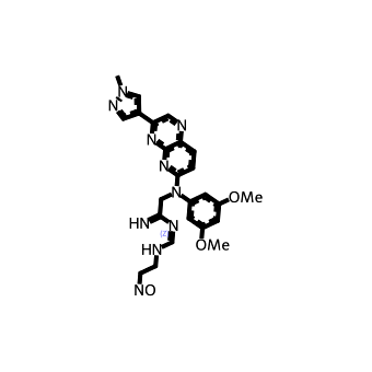 COc1cc(OC)cc(N(CC(=N)/N=C\NCCN=O)c2ccc3ncc(-c4cnn(C)c4)nc3n2)c1